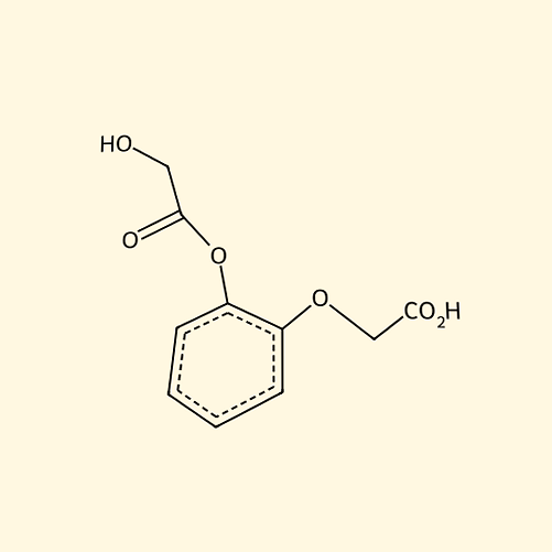 O=C(O)COc1ccccc1OC(=O)CO